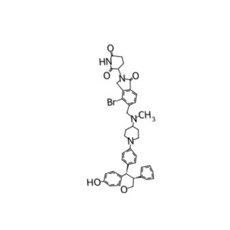 CN(Cc1ccc2c(c1Br)CN(C1CCC(=O)NC1=O)C2=O)C1CCN(c2ccc([C@@H]3c4ccc(O)cc4OC[C@@H]3c3ccccc3)cc2)CC1